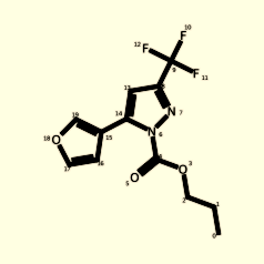 CCCOC(=O)n1nc(C(F)(F)F)cc1-c1ccoc1